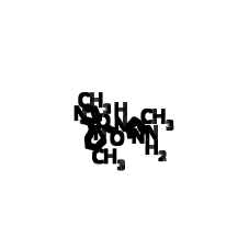 Cc1ccc(C2CC[C@H](C)CN2C(=O)C(=O)Nc2cnc(N)c(C)c2)cn1